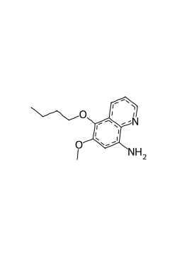 CCCCOc1c(OC)cc(N)c2ncccc12